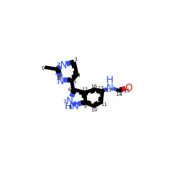 Cc1nccc(-c2n[nH]c3ccc(NC=O)cc23)n1